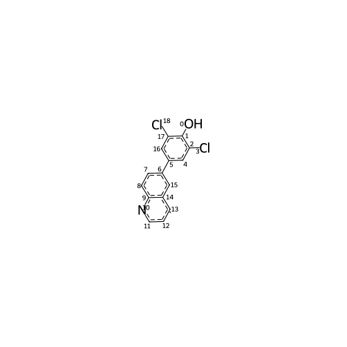 Oc1c(Cl)cc(-c2ccc3ncc[c]c3c2)cc1Cl